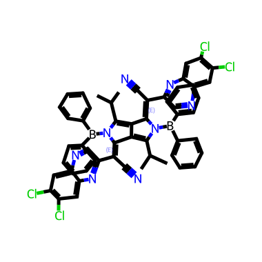 CC(C)c1c2/c(=C(\C#N)c3cnc4cc(Cl)c(Cl)cc4n3)n(B(c3ccccc3)c3ccccc3)c(C(C)C)c2/c(=C(\C#N)c2cnc3cc(Cl)c(Cl)cc3n2)n1B(c1ccccc1)c1ccccc1